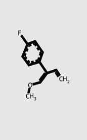 C=C/C(=C/OC)c1ccc(F)cc1